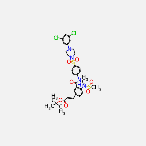 CN(c1ccc(/C=C/C(=O)OC(C)(C)C)cc1C(=O)Nc1ccc(S(=O)(=O)N2CCN(c3cc(Cl)cc(Cl)c3)CC2)cc1)S(C)(=O)=O